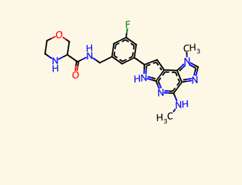 CNc1nc2[nH]c(-c3cc(F)cc(CNC(=O)C4COCCN4)c3)cc2c2c1ncn2C